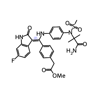 COC(=O)Cc1ccc(/C(Nc2ccc(N(C(C)(C)C(N)=O)S(C)(=O)=O)cc2)=C2/C(=O)Nc3cc(F)ccc32)cc1